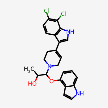 CC(O)C(Oc1cccc2[nH]ccc12)N1CC=C(c2c[nH]c3c(Cl)c(Cl)ccc23)CC1